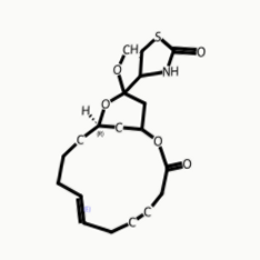 COC1(C2CSC(=O)N2)CC2C[C@@H](CCC/C=C/CCCCC(=O)O2)O1